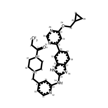 O=C(CC(F)(F)F)N1CCN(Cc2ccnc(Nc3nc4ccc(-c5cc(OCC6CC6)ncn5)cc4[nH]3)c2)CC1